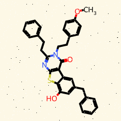 COc1ccc(CCn2c(CCc3ccccc3)nc3sc4c(O)cc(Cc5ccccc5)cc4c3c2=O)cc1